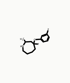 CC1CC(F)(Oc2cccc(F)c2)CCCCN1